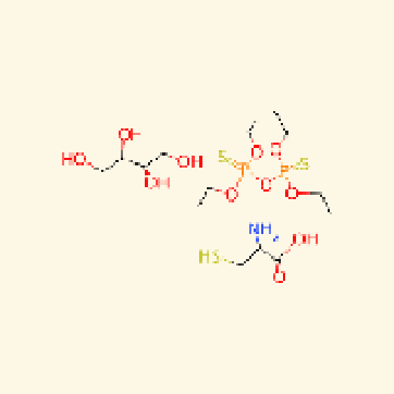 CCOP(=S)(OCC)OP(=S)(OCC)OCC.NC(CS)C(=O)O.OC[C@@H](O)[C@H](O)CO